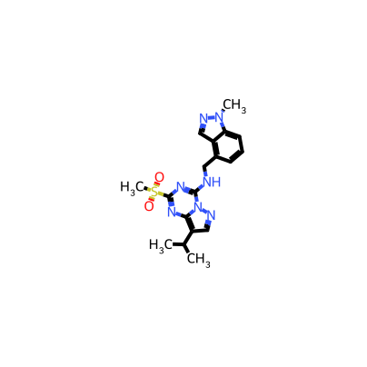 CC(C)c1cnn2c(NCc3cccc4c3cnn4C)nc(S(C)(=O)=O)nc12